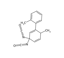 Cc1ccccc1C1=CC(N=C=O)(N=C=O)C=CC1C